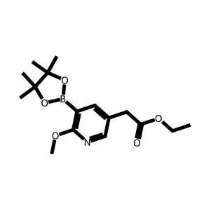 CCOC(=O)Cc1cnc(OC)c(B2OC(C)(C)C(C)(C)O2)c1